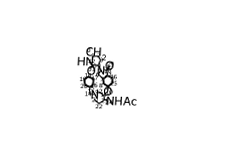 C=C1CCC(N2Cc3cc(OC4CN(Cc5ccccc5)CCC4NC(C)=O)ccc3C2=O)C(=O)N1